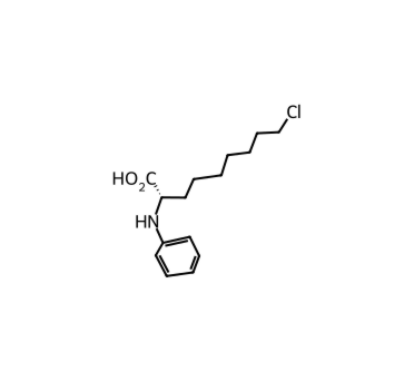 O=C(O)[C@H](CCCCCCCCl)Nc1ccccc1